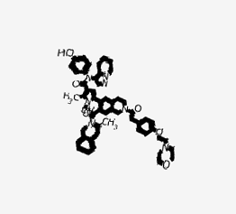 Cc1c(C(=O)N(c2ccc(O)cc2)c2cnn3c2CCCC3)cc(-c2cc3c(cc2C(=O)N2Cc4ccccc4C[C@H]2C)CN(C(=O)Cc2ccc(OCCN4CCOCC4)cc2)CC3)n1C